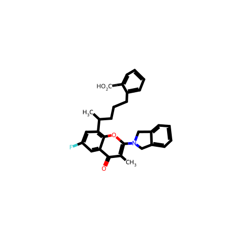 Cc1c(N2Cc3ccccc3C2)oc2c(C(C)CCCc3ccccc3C(=O)O)cc(F)cc2c1=O